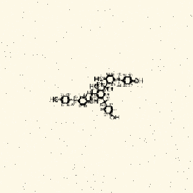 CCC(C)(Cc1cc(C(C)(C)c2ccc(O)cc2)ccc1O)c1cc(C(C)(C)c2ccc(O)cc2)cc(C(CC)(CC)c2cc(C(C)(C)c3ccc(O)cc3)ccc2O)c1O